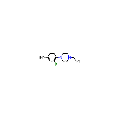 CC(C)CN1CCN(c2ccc(C(C)C)cc2F)CC1